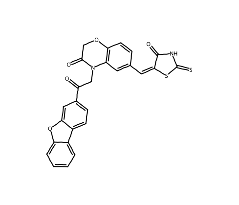 O=C1NC(=S)S/C1=C/c1ccc2c(c1)N(CC(=O)c1ccc3c(c1)oc1ccccc13)C(=O)CO2